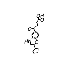 O=C(O)CCC(=O)c1ccc2c(c1)NCC(C1CCCC1)O2